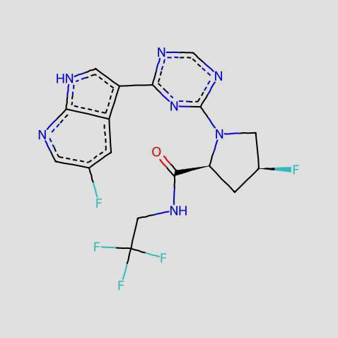 O=C(NCC(F)(F)F)[C@@H]1C[C@H](F)CN1c1ncnc(-c2c[nH]c3ncc(F)cc23)n1